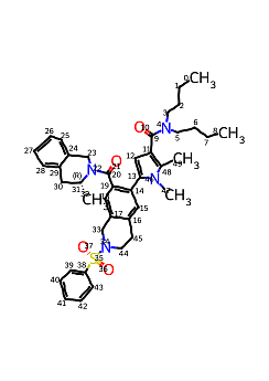 CCCCN(CCCC)C(=O)c1cc(-c2cc3c(cc2C(=O)N2Cc4ccccc4C[C@H]2C)CN(S(=O)(=O)c2ccccc2)CC3)n(C)c1C